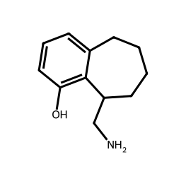 NCC1CCCCc2cccc(O)c21